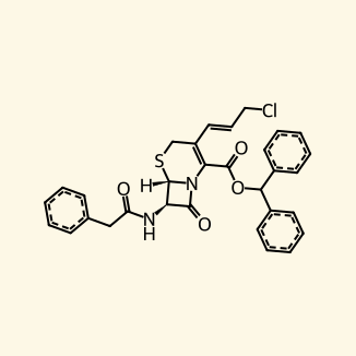 O=C(Cc1ccccc1)N[C@@H]1C(=O)N2C(C(=O)OC(c3ccccc3)c3ccccc3)=C(C=CCCl)CS[C@@H]12